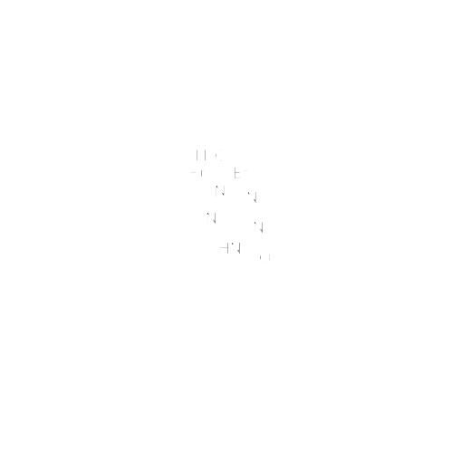 CCC(C)(CC)n1cnc2c(NC(=O)c3ccccc3)ncnc21